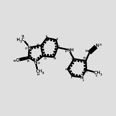 Cc1nccc(Nc2ccc3c(c2)n(C)c(=O)n3C)c1C#N